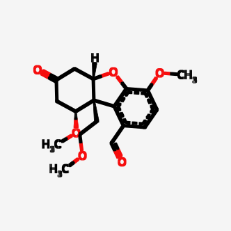 COCC[C@]12c3c(C=O)ccc(OC)c3O[C@H]1CC(=O)C[C@@H]2OC